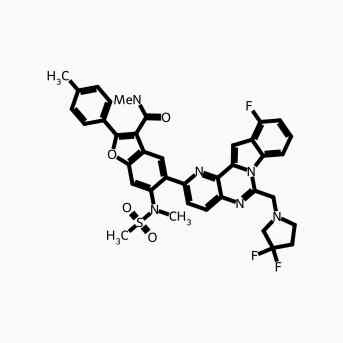 CNC(=O)c1c(-c2ccc(C)cc2)oc2cc(N(C)S(C)(=O)=O)c(-c3ccc4nc(CN5CCC(F)(F)C5)n5c6cccc(F)c6cc5c4n3)cc12